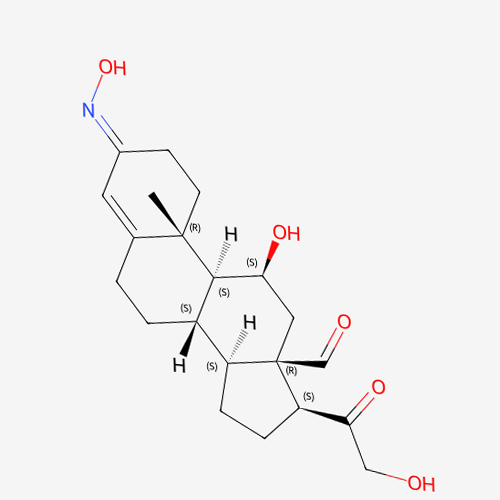 C[C@]12CCC(=NO)C=C1CC[C@@H]1[C@@H]2[C@@H](O)C[C@]2(C=O)[C@@H](C(=O)CO)CC[C@@H]12